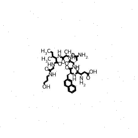 CC[C@H](C)[C@H](NC(=O)[C@H](C)NC(=O)[C@H](CC(N)=O)NC(=O)[C@H](Cc1ccc2ccccc2c1)NC(=O)[C@@H](N)CC(=O)O)C(=O)NCC(=O)NCCCO